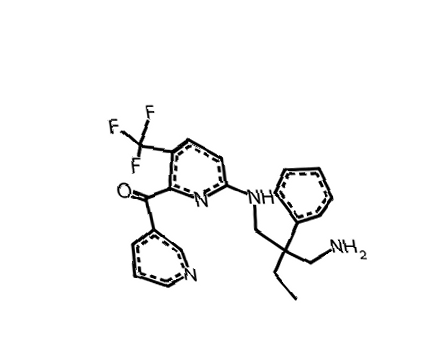 CCC(CN)(CNc1ccc(C(F)(F)F)c(C(=O)c2cccnc2)n1)c1ccccc1